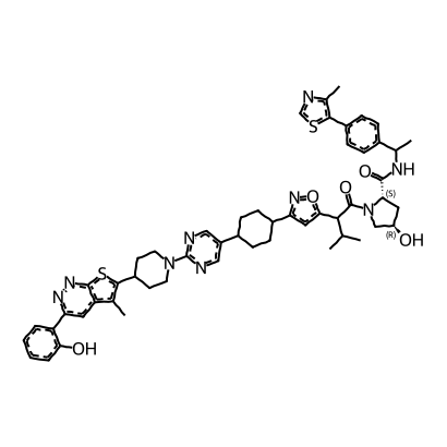 Cc1ncsc1-c1ccc(C(C)NC(=O)[C@@H]2C[C@@H](O)CN2C(=O)C(c2cc(C3CCC(c4cnc(N5CCC(c6sc7nnc(-c8ccccc8O)cc7c6C)CC5)nc4)CC3)no2)C(C)C)cc1